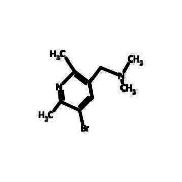 Cc1nc(C)c(CN(C)C)cc1Br